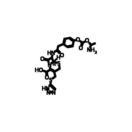 CC(N)OC(=O)Oc1ccc(CC(=O)NC2C(=O)N3C(C(=O)O)=C(CSc4cnn[nH]4)CS[C@@H]23)cc1